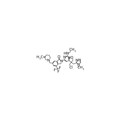 CCNc1cc(C(CO)(CCl)Cc2nncn2C)cc(N2Cc3c(cc(CN4CCC[C@H](C)C4)cc3C(F)(F)F)C2=O)n1